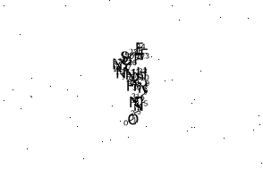 COCCn1cc(CN2CC[C@@H]3CN(c4ncnc5sc(CC(F)(F)F)cc45)C[C@@H]3C2)cn1